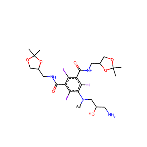 CC(=O)N(CC(O)CN)c1c(I)c(C(=O)NCC2COC(C)(C)O2)c(I)c(C(=O)NCC2COC(C)(C)O2)c1I